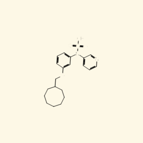 CS(=O)(=O)N(c1cccnc1)c1cccc(OCC2CCCCCCC2)c1